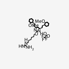 COc1ccccc1C=Cc1cc(C=Cc2ccccc2OC)nc(OCCCCCCNC(=N)N)n1.O=C(O)C(F)(F)F